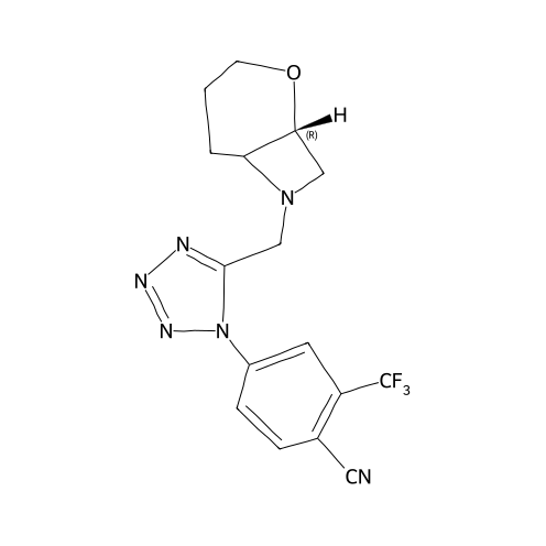 N#Cc1ccc(-n2nnnc2CN2C[C@H]3OCCCC32)cc1C(F)(F)F